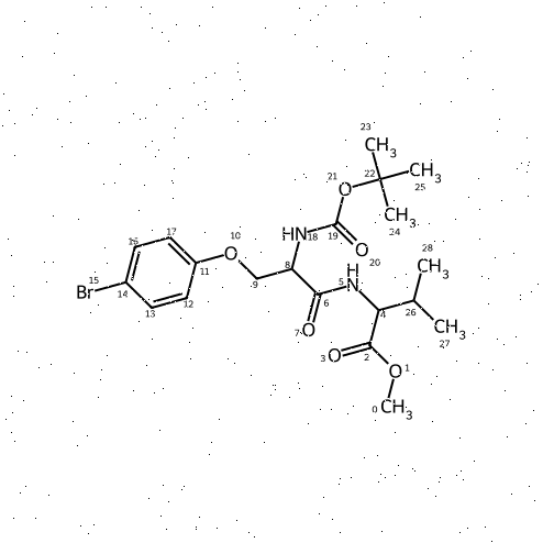 COC(=O)C(NC(=O)C(COc1ccc(Br)cc1)NC(=O)OC(C)(C)C)C(C)C